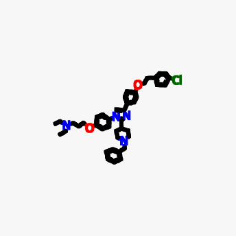 CCN(CC)CCCOc1ccc(-n2cc(-c3ccc(OCCc4ccc(Cl)cc4)cc3)nc2C2CCN(Cc3ccccc3)CC2)cc1